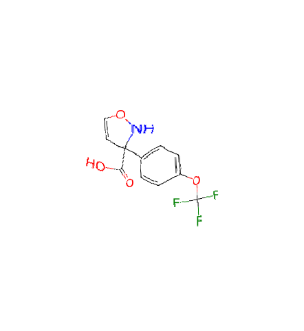 O=C(O)C1(c2ccc(OC(F)(F)F)cc2)C=CON1